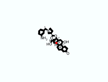 C[C@@H](c1cccc(N)c1)n1ccc([C@@H]2O[C@@H]3C[C@H]4[C@@H]5CCC6=CC(=O)C=C[C@]6(C)[C@@]5(F)[C@@H](O)C[C@]4(C)[C@]3(C(=O)CO)O2)c1